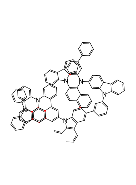 C=Cc1c(/C=C\C)c2cc(-c3cccc(-n4c5ccccc5c5ccc(N(c6cccc(-c7ccccc7)c6)c6c(-n7c8ccccc8c8ccccc87)ccc7ccccc67)cc54)c3)ccc2n1-c1cc(-c2ccccc2N(c2ccccc2-c2ccccc2)c2cccc3c4ccccc4n(-c4ccccc4)c23)c2ccccc2c1